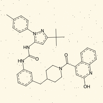 Cc1ccc(-n2nc(C(C)(C)C)cc2NC(=O)Nc2cccc(CC3CCN(C(=O)c4cc(O)nc5ccccc45)CC3)c2)cc1